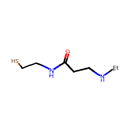 CCNCCC(=O)NCCS